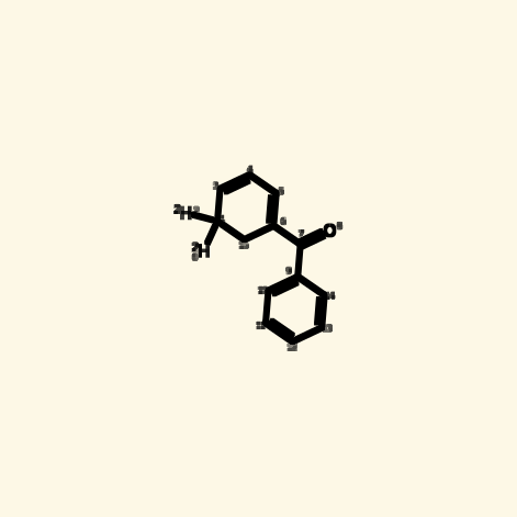 [2H]C1([2H])C=CC=C(C(=O)c2ccccc2)C1